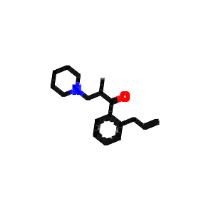 C=CCc1ccccc1C(=O)C(C)CN1CCCCC1